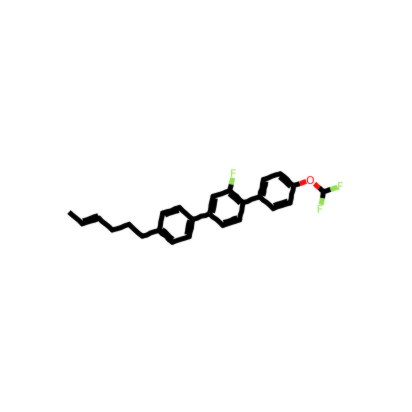 C/C=C/CCCc1ccc(-c2ccc(-c3ccc(OC(F)F)cc3)c(F)c2)cc1